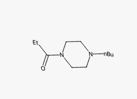 CCCCN1CCN(C(=O)CC)CC1